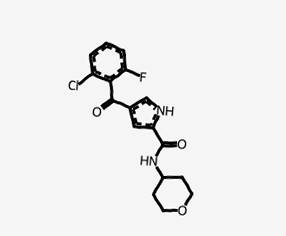 O=C(NC1CCOCC1)c1cc(C(=O)c2c(F)cccc2Cl)c[nH]1